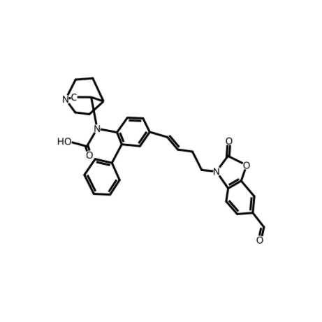 O=Cc1ccc2c(c1)oc(=O)n2CCC=Cc1ccc(N(C(=O)O)C2CN3CCC2CC3)c(-c2ccccc2)c1